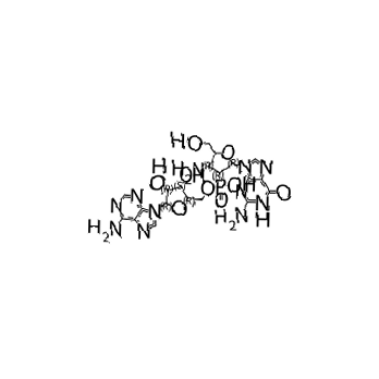 Nc1nc2c(ncn2[C@@H]2OC(CO)[C@@H](N)[C@H]2P(=O)(O)OC[C@H]2O[C@@H](n3cnc4c(N)ncnc43)[C@H](O)[C@@H]2O)c(=O)[nH]1